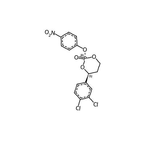 O=[N+]([O-])c1ccc(O[P@]2(=O)OCC[C@@H](c3ccc(Cl)c(Cl)c3)O2)cc1